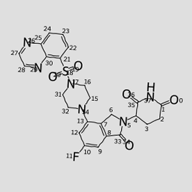 O=C1CCC(N2Cc3c(cc(F)cc3N3CCN(S(=O)(=O)c4cccc5nccnc45)CC3)C2=O)C(=O)N1